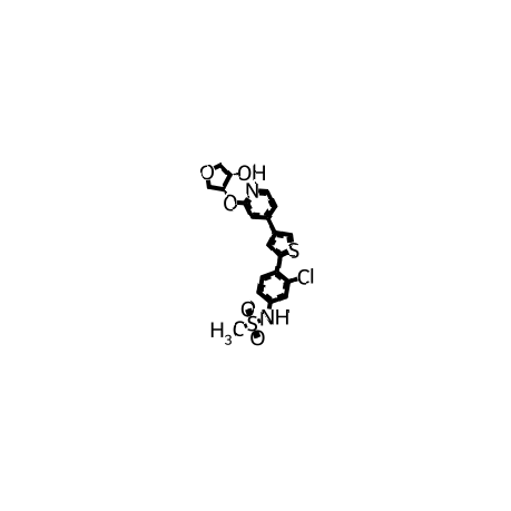 CS(=O)(=O)Nc1ccc(-c2cc(-c3ccnc(O[C@@H]4COC[C@@H]4O)c3)cs2)c(Cl)c1